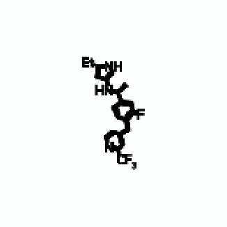 CC[C@H]1CC(NC(C)c2ccc(Cc3ccnc(C(F)(F)F)c3)c(F)c2)=CN1